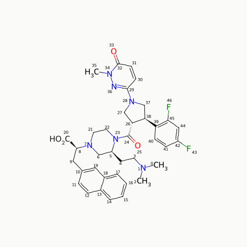 CN(C)CC[C@H]1CN([C@@H](Cc2ccc3ccccc3c2)C(=O)O)CCN1C(=O)[C@@H]1CN(c2ccc(=O)n(C)n2)C[C@H]1c1ccc(F)cc1F